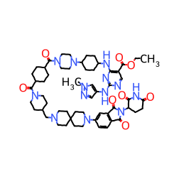 CCOC(=O)c1cnc(Nc2cnn(C)c2)nc1NC1CCC(N2CCN(C(=O)C3CCC(C(=O)N4CCC(CN5CCC6(CC5)CCN(c5ccc7c(c5)C(=O)N(C5CCC(=O)NC5=O)C7=O)CC6)CC4)CC3)CC2)CC1